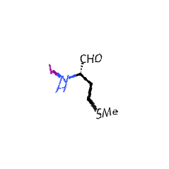 CSCC[C@@H](C=O)NI